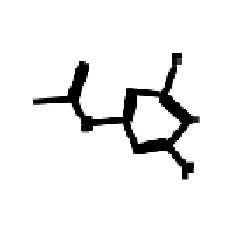 C=C(C)Sc1cc(F)[c]c(F)c1